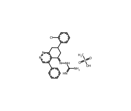 CS(=O)(=O)O.N=C(N)N/N=C1\CC(c2ccccc2Cl)Cc2nncc(-c3ccccc3)c21